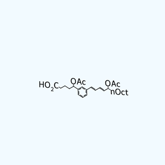 CCCCCCCCC(/C=C/C=C/c1cccc(C(CCCC(=O)O)OC(C)=O)c1)OC(C)=O